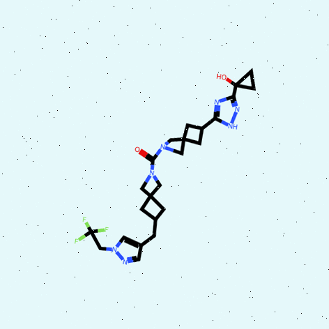 O=C(N1CC2(CC(Cc3cnn(CC(F)(F)F)c3)C2)C1)N1CC2(CC(c3nc(C4(O)CC4)n[nH]3)C2)C1